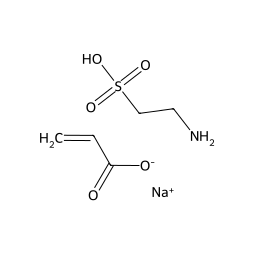 C=CC(=O)[O-].NCCS(=O)(=O)O.[Na+]